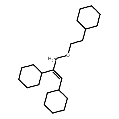 C(=C([SiH2]OCCC1CCCCC1)C1CCCCC1)C1CCCCC1